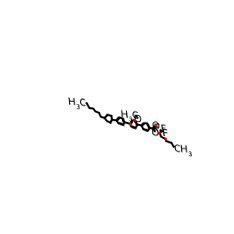 CCCCCCCC1CCC(c2ccc(-c3ccc(-c4ccc(C(=O)OC(CCCCCC)C(F)(F)F)cc4)c(OC)c3)cc2)CC1